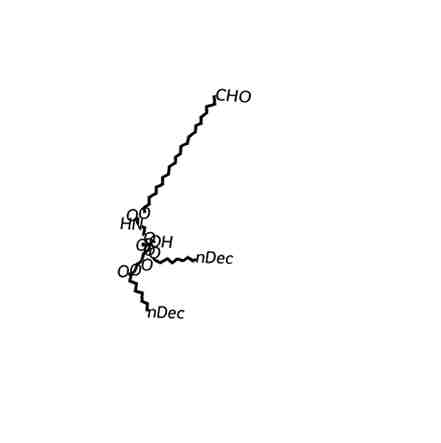 CCCCCCCCCCCCCCCCCC(=O)OCC(COP(=O)(O)OCCNC(=O)OCCCCCCCCCCCCCCCCCCCCCCCC=O)OC(=O)CCCCCCCCCCCCCCCCC